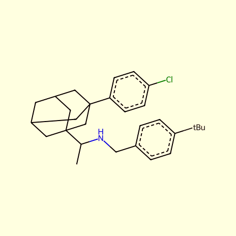 CC(NCc1ccc(C(C)(C)C)cc1)C12CC3CC(CC(c4ccc(Cl)cc4)(C3)C1)C2